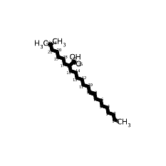 CCCCCCCCC=CCCCCCCC(CCCCCC(C)C)C(=O)O